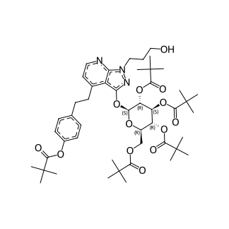 CC(C)(C)C(=O)OC[C@H]1O[C@@H](Oc2nn(CCCO)c3nccc(CCc4ccc(OC(=O)C(C)(C)C)cc4)c23)[C@H](OC(=O)C(C)(C)C)[C@@H](OC(=O)C(C)(C)C)[C@@H]1OC(=O)C(C)(C)C